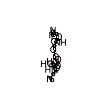 Cc1ncsc1-c1ccc([C@H](C)NC(=O)[C@@H]2C[C@@H](O)CN2C(=O)[C@@H](NC(=O)COCCCCOc2ccc(C(=O)N[C@H]3C(C)(C)[C@H](Oc4ccc(C#N)c(C(F)(F)F)c4)C3(C)C)cc2)C(C)(C)C)cc1